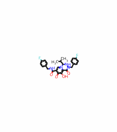 CC(C)C1NN(Cc2ccc(F)cc2)C(=O)c2c(O)c(=O)c(C(=O)NCc3ccc(F)cc3)cn21